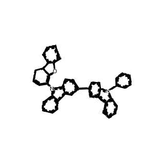 C1=CC(n2c3ccccc3c3cc(-c4ccc5c(c4)c4ccccc4n5-c4ccccc4)ccc32)=C2Oc3ccccc3C2C1